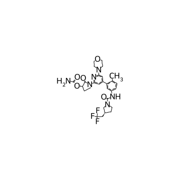 Cc1ccc(NC(=O)N2CC[C@@H](CC(F)(F)F)C2)cc1-c1cc(N2CCOCC2)nc(N2CC[C@@H](OC(N)=O)C2=O)c1